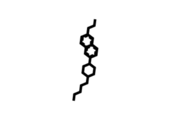 CCCCCC1CCC(c2ccc3cc(CCC)ccc3c2)CC1